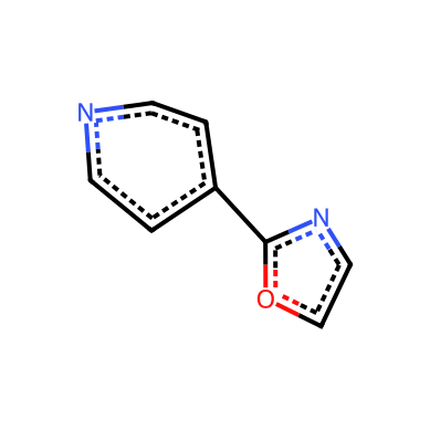 c1cc(-c2ncco2)ccn1